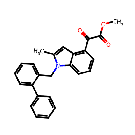 COC(=O)C(=O)c1cccc2c1cc(C)n2Cc1ccccc1-c1ccccc1